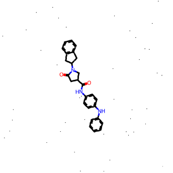 O=C(Nc1ccc(Nc2ccccc2)cc1)C1CC(=O)N(C2Cc3ccccc3C2)C1